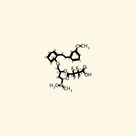 COc1cccc(CCc2ccccc2OCC(CCN(C)C)OC(=O)C(F)(F)C(F)(F)C(=O)O)c1